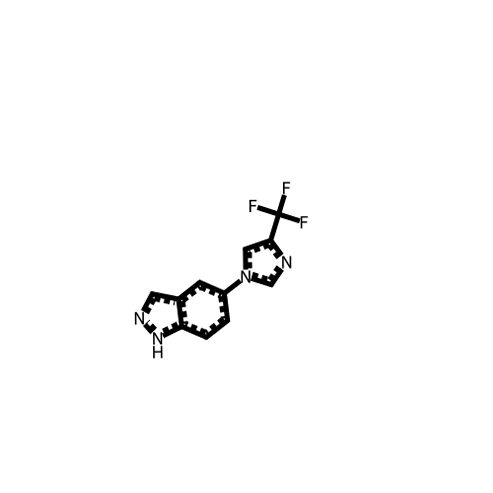 FC(F)(F)c1cn(-c2ccc3[nH]ncc3c2)cn1